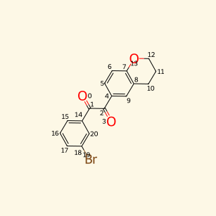 O=C(C(=O)c1ccc2c(c1)CCCO2)c1cccc(Br)c1